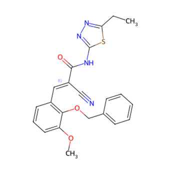 CCc1nnc(NC(=O)/C(C#N)=C/c2cccc(OC)c2OCc2ccccc2)s1